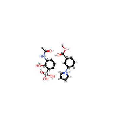 CC(=O)Nc1cccc([As](=O)(O)O)c1O.COC(=O)c1cccc(-n2cccc2)c1